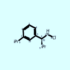 CC(C)c1cccc([C@@H](NCl)C(C)C)c1